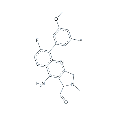 COc1cc(F)cc(-c2c(F)ccc3c(N)c4c(nc23)CN(C)C4C=O)c1